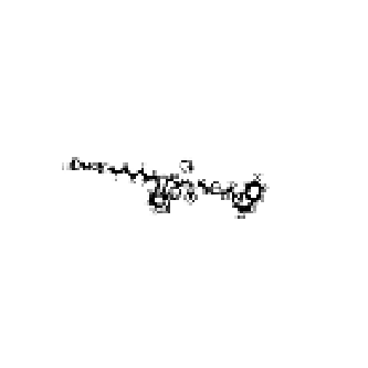 CCCCCCCCCCCCCCCCCCOCC(C[S+]([O-])CCOCC[n+]1cccc2ccccc21)Oc1ncccn1.[Cl-]